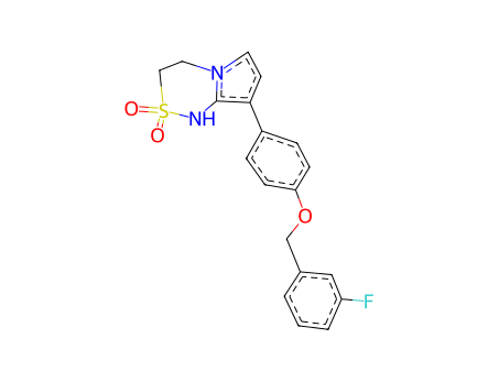 O=S1(=O)CCn2ccc(-c3ccc(OCc4cccc(F)c4)cc3)c2N1